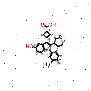 Cc1cc(-n2c(C3CCOCC3)c([C@H]3C[C@@H](C(=O)O)C3)c3cc(O)ccc32)ccc1F